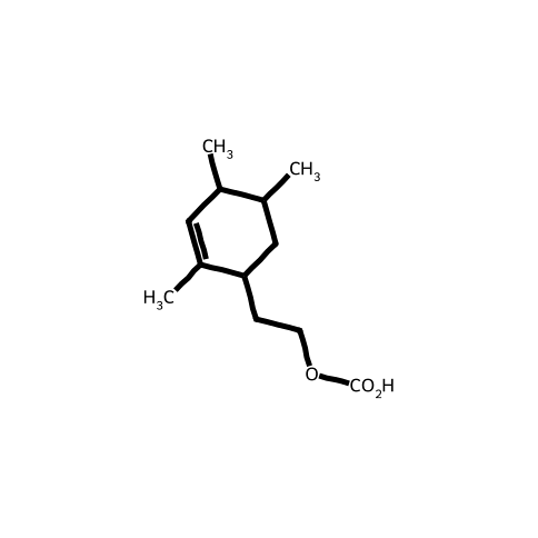 CC1=CC(C)C(C)CC1CCOC(=O)O